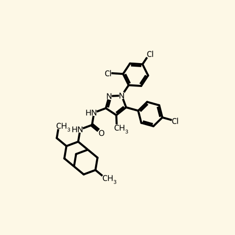 CCC1CC2CC(C)CC(C2)C1NC(=O)Nc1nn(-c2ccc(Cl)cc2Cl)c(-c2ccc(Cl)cc2)c1C